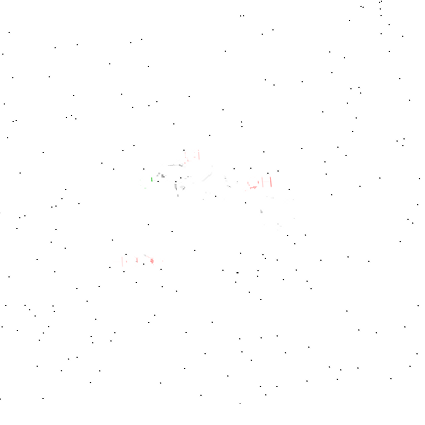 O=C(O)CCCCCC[C@@H]1[C@@H](c2ccc(C(O)CC3CCCCC3)cc2)[C@H](O)C[C@H]1Cl